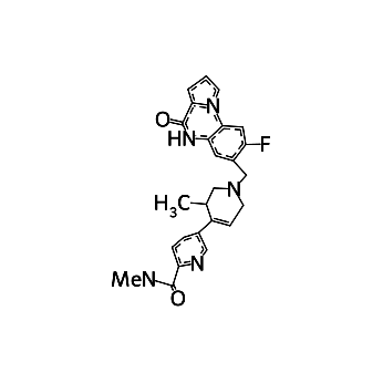 CNC(=O)c1ccc(C2=CCN(Cc3cc4[nH]c(=O)c5cccn5c4cc3F)CC2C)cn1